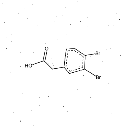 O=C(O)Cc1ccc(Br)c(Br)c1